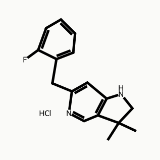 CC1(C)CNc2cc(Cc3ccccc3F)ncc21.Cl